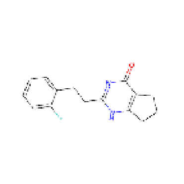 O=c1nc(CCc2ccccc2F)[nH]c2c1CCC2